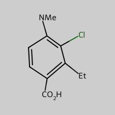 CCc1c(C(=O)O)ccc(NC)c1Cl